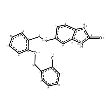 O=c1[nH]c2ccc(NCc3ccccc3OCc3ccccc3Cl)cc2[nH]1